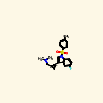 Cc1ccc(S(=O)(=O)n2cc([C@@H]3C[C@H]3CN(C)C)c3cc(F)ccc32)cc1